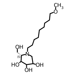 COCCCCCCCCCN1CC(O)C(O)C(O)[C@@H]1CO